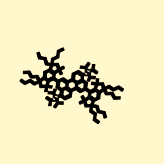 CCCCC1(CCCC)CC(C)(C)c2c1cc1c(c2-c2cc3c([Si](C(C)C)(C(C)C)C(C)C)ccc4c5cc(-c6c7c(cc8c6C(C)(C)CC8(CCCC)CCCC)C(CCCC)(CCCC)CC7(C)C)cc6c([Si](C(C)C)(C(C)C)C(C)C)ccc(c(c2)c34)c65)C(C)(C)CC1(CCCC)CCCC